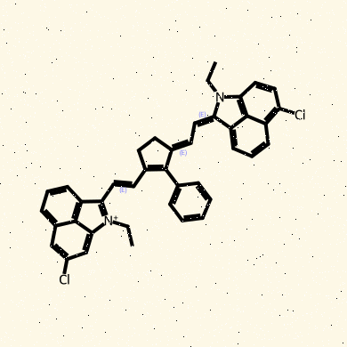 CCn1/c(=C/C=C2\CCC(/C=C/C3=[N+](CC)c4cc(Cl)cc5cccc3c45)=C2c2ccccc2)c2cccc3c(Cl)ccc1c32